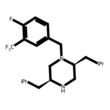 CC(C)C[C@H]1CN(Cc2ccc(F)c(C(F)(F)F)c2)[C@@H](CC(C)C)CN1